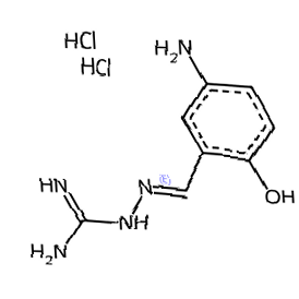 Cl.Cl.N=C(N)N/N=C/c1cc(N)ccc1O